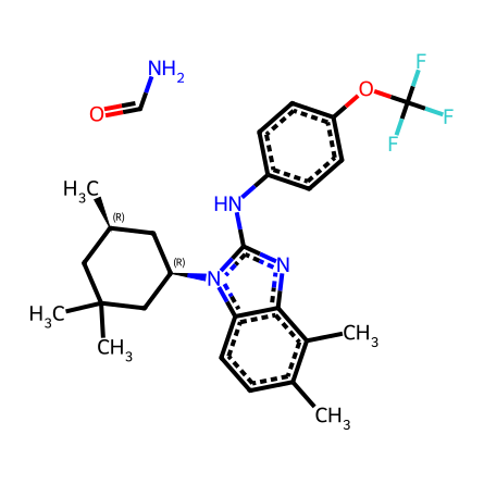 Cc1ccc2c(nc(Nc3ccc(OC(F)(F)F)cc3)n2[C@@H]2C[C@H](C)CC(C)(C)C2)c1C.NC=O